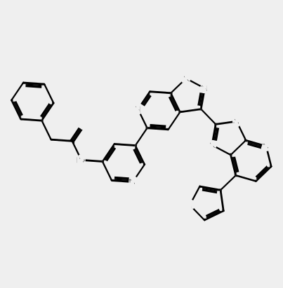 O=C(Cc1ccccc1)Nc1cncc(-c2cc3c(-c4nc5c(-c6ccsc6)ccnc5[nH]4)n[nH]c3cn2)c1